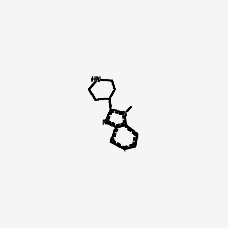 Cn1c(C2CCNCC2)nc2c[c]ccc21